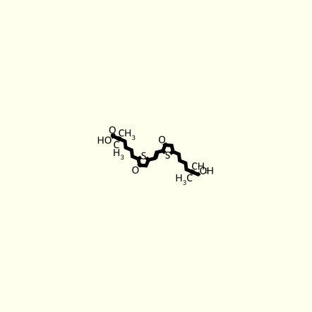 CC(C)(CO)CCCCC1CC(=O)C(C=CC2CC(=O)C(CCCCC(C)(C)C(=O)O)S2)S1